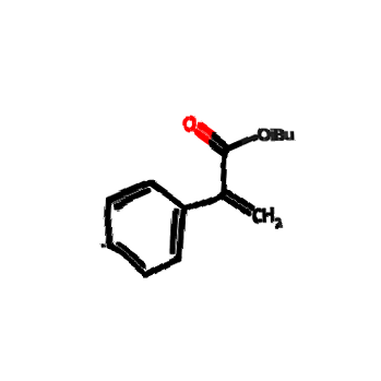 C=C(C(=O)OCC(C)C)c1cc[c]cc1